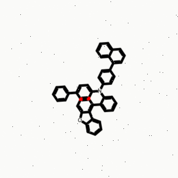 c1ccc(-c2ccc(N(c3ccc(-c4cccc5ccccc45)cc3)c3ccccc3-c3cccc4oc5ccccc5c34)cc2)cc1